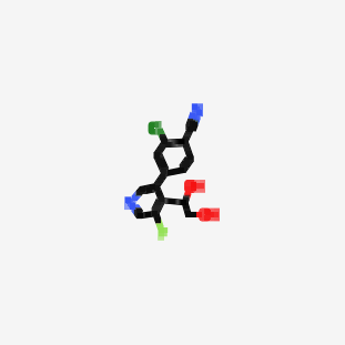 N#Cc1ccc(-c2cncc(F)c2C(O)CO)cc1Cl